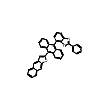 c1ccc(-c2nc3cccc(-c4c5ccccc5c(-c5cc6cc7ccccc7cc6o5)c5ccccc45)c3o2)cc1